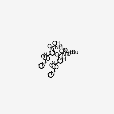 C[C@H](N)C(=O)N1CCCC(C2=NOCC(CN3CCCCC3)O2)C1.C[C@H](NC(=O)OC(C)(C)C)C(=O)N1CCCC(C2=NOCC(CN3CCCCC3)O2)C1